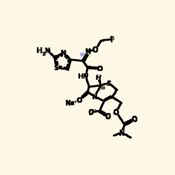 CN(C)C(=O)OCC1=C(C(=O)[O-])N2C(=O)C(NC(=O)/C(=N\OCF)c3csc(N)n3)[C@@H]2SC1.[Na+]